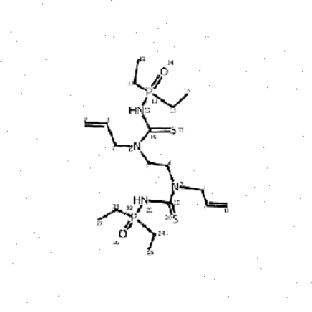 C=CCN(CCN(CC=C)C(=S)NP(=O)(CC)CC)C(=S)NP(=O)(CC)CC